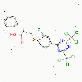 O=C(O)C(CSc1ccc(-c2nc(C(Cl)(Cl)Cl)nc(C(Cl)(Cl)Cl)n2)cc1Cl)Cc1ccccc1